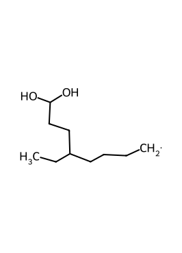 [CH2]CCCC(CC)CCC(O)O